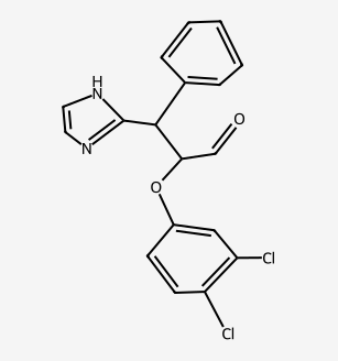 O=CC(Oc1ccc(Cl)c(Cl)c1)C(c1ccccc1)c1ncc[nH]1